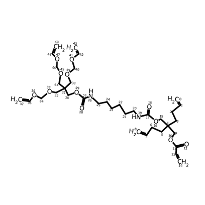 C=CCCC(CCC=C)(COC(=O)C=C)COC(=O)NCCCCCCNC(=O)OCC(COCOC=C)(COCOC=C)COCOC=C